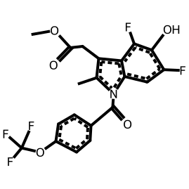 COC(=O)Cc1c(C)n(C(=O)c2ccc(OC(F)(F)F)cc2)c2cc(F)c(O)c(F)c12